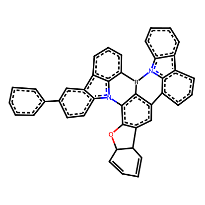 C1=CC2Oc3c(cc4c5c3-n3c6ccc(-c7ccccc7)cc6c6cccc(c63)B5n3c5ccccc5c5cccc-4c53)C2C=C1